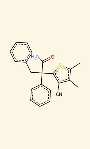 Cc1sc(C(Cc2ccccc2)(C(N)=O)c2ccccc2)c(C#N)c1C